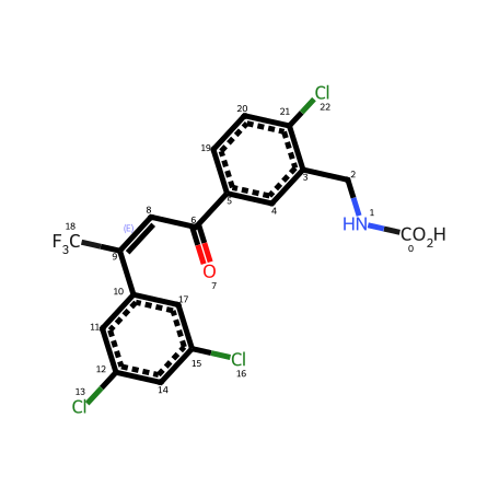 O=C(O)NCc1cc(C(=O)/C=C(\c2cc(Cl)cc(Cl)c2)C(F)(F)F)ccc1Cl